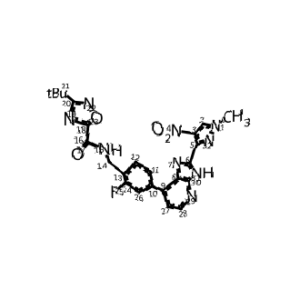 Cn1cc([N+](=O)[O-])c(-c2nc3c(-c4ccc(CNC(=O)c5nc(C(C)(C)C)no5)c(F)c4)ccnc3[nH]2)n1